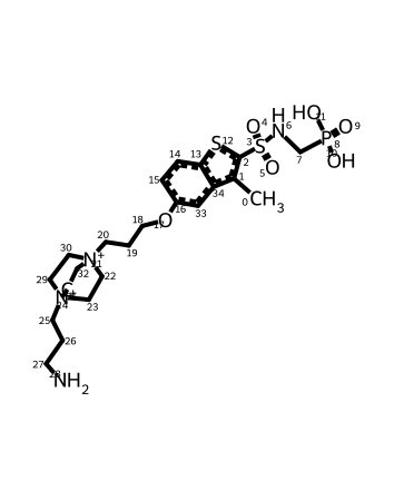 Cc1c(S(=O)(=O)NCP(=O)(O)O)sc2ccc(OCCC[N+]34CC[N+](CCCN)(CC3)CC4)cc12